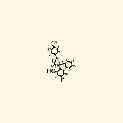 COc1ccc(COC(C)[C@H](Oc2ccccc2)c2ccc(F)cc2O)cc1